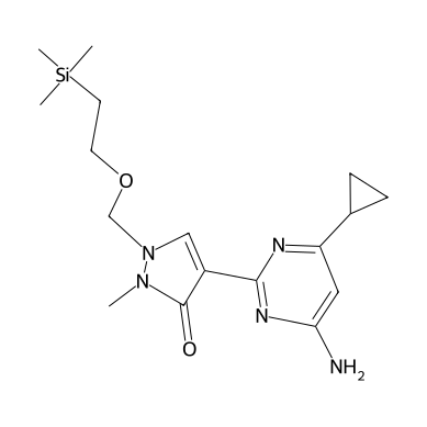 Cn1c(=O)c(-c2nc(N)cc(C3CC3)n2)cn1COCC[Si](C)(C)C